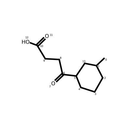 CC1CCCC(C(=O)CCC(=O)O)C1